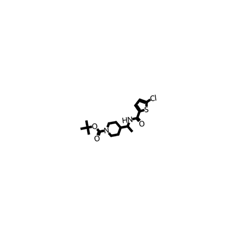 CC(NC(=O)c1ccc(Cl)s1)C1CCN(C(=O)OC(C)(C)C)CC1